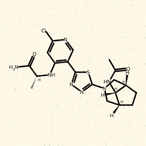 CC(=O)N[C@H]1[C@@H]2CC[C@H]1CN(c1nnc(-c3cnc(Cl)cc3N[C@H](C)C(N)=O)s1)C2